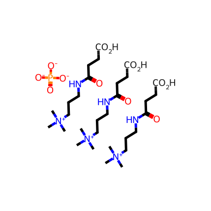 C[N+](C)(C)CCCNC(=O)CCC(=O)O.C[N+](C)(C)CCCNC(=O)CCC(=O)O.C[N+](C)(C)CCCNC(=O)CCC(=O)O.O=P([O-])([O-])[O-]